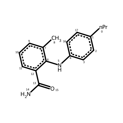 CCCc1ccc(Nc2c(C)cccc2C(N)=O)cc1